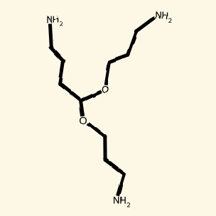 NCCCOC(CCCN)OCCCN